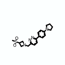 CS(=O)(=O)C1CN(Cc2ccc(-c3ccc(N4CCCC4)cc3)nn2)C1